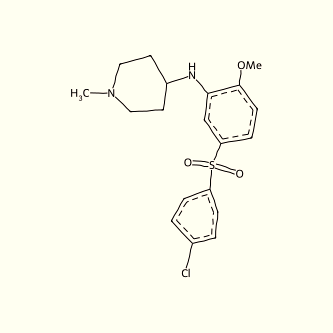 COc1ccc(S(=O)(=O)c2ccc(Cl)cc2)cc1NC1CCN(C)CC1